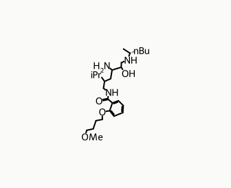 CCCC[C@@H](C)NCC(O)C(N)CC(CNC(=O)c1ccccc1OCCCCOC)C(C)C